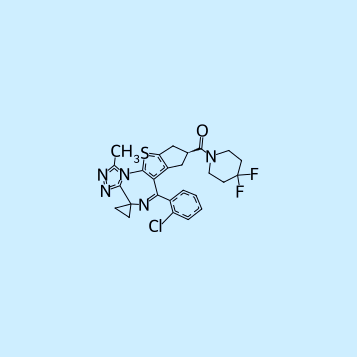 Cc1nnc2n1-c1sc3c(c1C(c1ccccc1Cl)=NC21CC1)C[C@H](C(=O)N1CCC(F)(F)CC1)C3